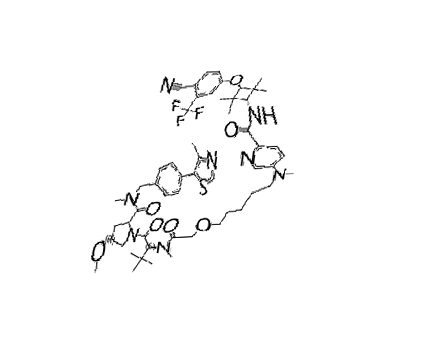 CO[C@@H]1CC(C(=O)N(C)Cc2ccc(-c3scnc3C)cc2)N(C(=O)[C@@H](N(C)C(=O)COCCCCCN(C)c2ccc(C(=O)N[C@H]3C(C)(C)[C@H](Oc4ccc(C#N)c(C(F)(F)F)c4)C3(C)C)nc2)C(C)(C)C)C1